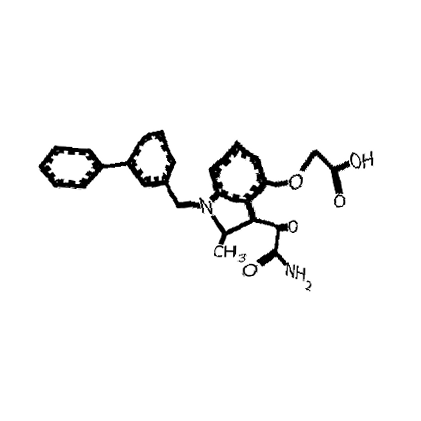 CC1C(C(=O)C(N)=O)c2c(OCC(=O)O)cccc2N1Cc1cccc(-c2ccccc2)c1